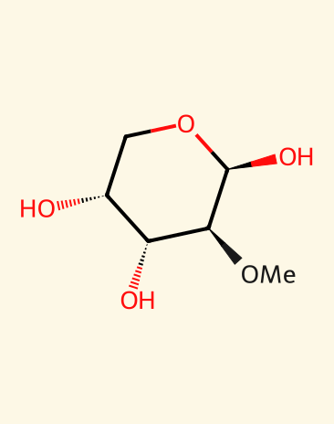 CO[C@H]1[C@H](O)[C@H](O)CO[C@H]1O